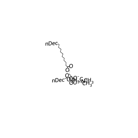 CCCCCCCCCCCCCCCCCCCCC(=O)OC[C@H](COP(=O)([O-])OCC[N+](C)(C)C)OC(=O)CCCCCCCCCC